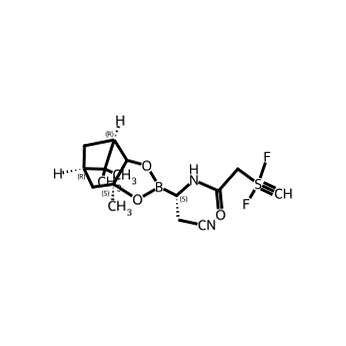 C#S(F)(F)CC(=O)N[C@H](CC#N)B1OC2[C@@H]3C[C@H](C[C@]2(C)O1)C3(C)C